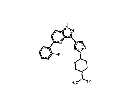 C[S+]([O-])N1CCC(n2cc(-c3n[nH]c4ccc(-c5ccccc5F)nc34)cn2)CC1